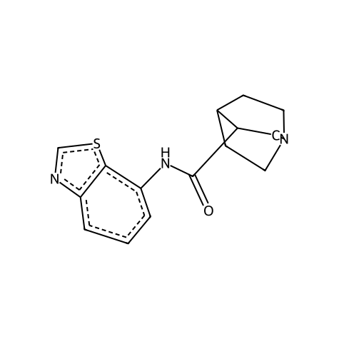 O=C(Nc1cccc2ncsc12)C1CN2CCC1CC2